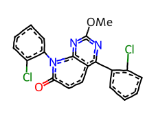 COc1nc(-c2ccccc2Cl)c2ccc(=O)n(-c3ccccc3Cl)c2n1